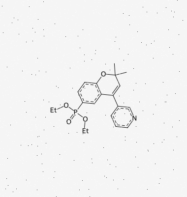 CCOP(=O)(OCC)c1ccc2c(c1)C(c1cccnc1)=CC(C)(C)O2